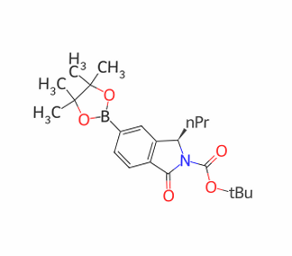 CCC[C@@H]1c2cc(B3OC(C)(C)C(C)(C)O3)ccc2C(=O)N1C(=O)OC(C)(C)C